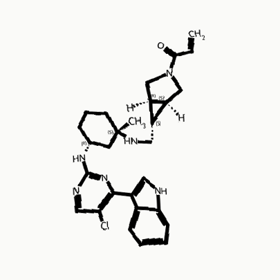 C=CC(=O)N1C[C@@H]2[C@@H](CN[C@@]3(C)CCC[C@@H](Nc4ncc(Cl)c(-c5c[nH]c6ccccc56)n4)C3)[C@@H]2C1